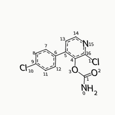 NC(=O)Oc1c(-c2ccc(Cl)cc2)ccnc1Cl